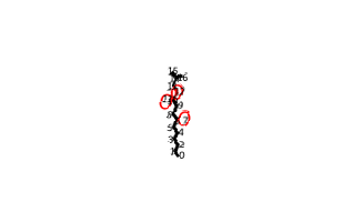 CCCCCCC(=O)CCC(=O)OCC(C)C